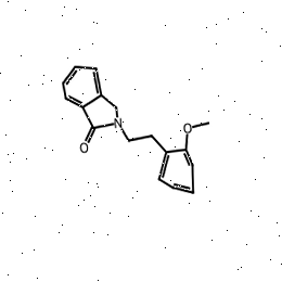 COc1ccccc1CCN1Cc2ccccc2C1=O